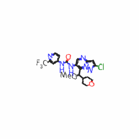 COC(c1c(NC(=O)Nc2ccnc(C(F)(F)F)c2)cnc2cc(Cl)nn12)C1CCOCC1